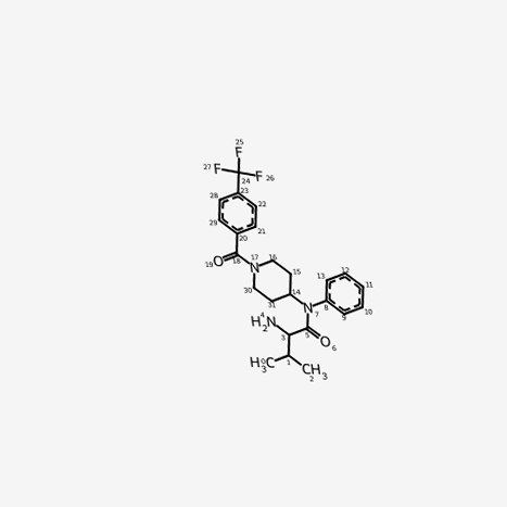 CC(C)C(N)C(=O)N(c1ccccc1)C1CCN(C(=O)c2ccc(C(F)(F)F)cc2)CC1